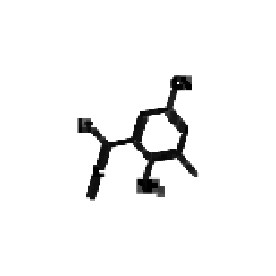 C=C=C(CC)c1cc(C#N)cc(C)c1N